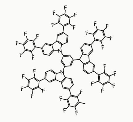 Cc1c(F)c(F)c(F)c(-c2ccc3c(c2)c2cc(-c4c(F)c(F)c(F)c(F)c4F)ccc2n3-c2cc(C3c4ccc(-c5c(F)c(F)c(F)c(F)c5F)cc4-c4cc(-c5c(F)c(F)c(F)c(F)c5F)ccc43)cc(-n3c4ccc(-c5c(F)c(F)c(F)c(F)c5F)cc4c4cc(-c5c(F)c(F)c(F)c(F)c5F)ccc43)c2)c1F